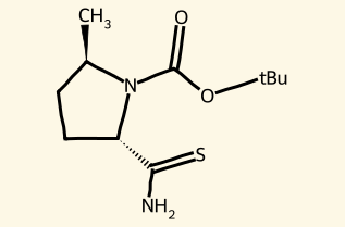 C[C@@H]1CC[C@@H](C(N)=S)N1C(=O)OC(C)(C)C